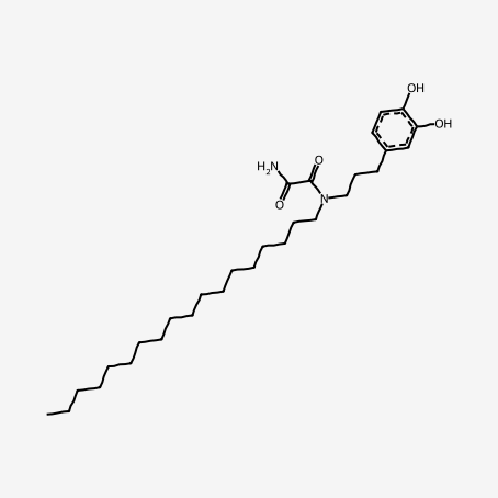 CCCCCCCCCCCCCCCCCCN(CCCc1ccc(O)c(O)c1)C(=O)C(N)=O